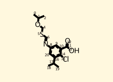 CC(C)OCSC=Nc1cc(C(=O)O)c(Cl)c(C(C)C)c1